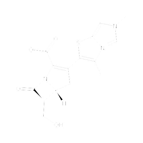 Cc1c(C2=C(C(=O)[O-])N3C(=O)[C@H]([C@@H](C)O)[C@H]3[C@H]2C)sc2cn(C)c[n+]12